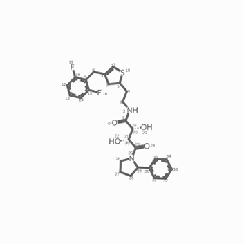 O=C(NCCC1CC(Cc2c(F)cccc2F)=CS1)[C@H](O)[C@@H](O)C(=O)N1CCCC1c1ccccc1